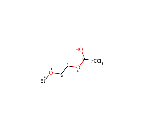 CCOCCOC(O)C(Cl)(Cl)Cl